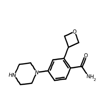 NC(=O)c1ccc(N2CCNCC2)cc1C1COC1